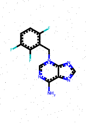 Nc1ncn(Cc2c(F)ccc(F)c2F)c2ncnc1-2